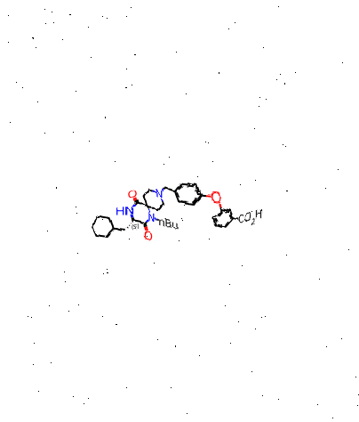 CCCCN1C(=O)[C@H](CC2CCCCC2)NC(=O)C12CCN(Cc1ccc(Oc3cccc(C(=O)O)c3)cc1)CC2